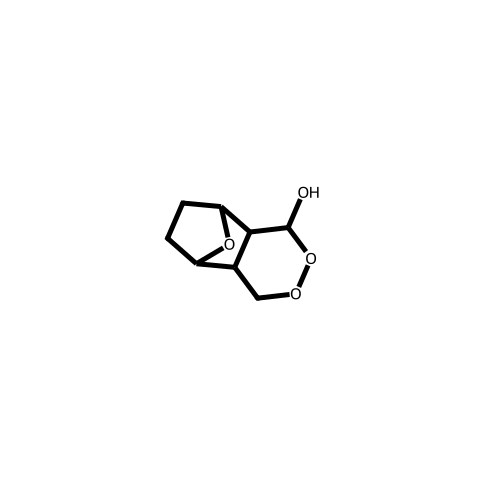 OC1OOCC2C3CCC(O3)C12